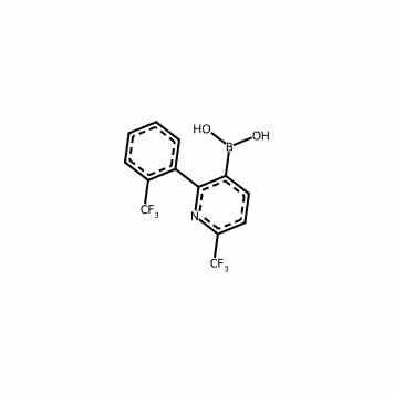 OB(O)c1ccc(C(F)(F)F)nc1-c1ccccc1C(F)(F)F